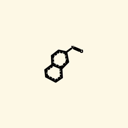 O=Nc1ccc2ccccc2c1